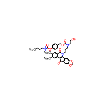 COCCCNC(=O)Oc1ccc(COC(=O)N(CCO)CCCn2c3c(c4cc(OC)c(OC)cc4c2=O)C(=O)c2cc4c(cc2-3)OCO4)cc1